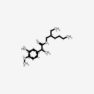 CCCCC(CC)COC(=O)C(C)c1ccc(OC)c(O)c1